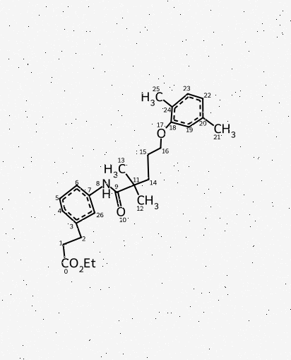 CCOC(=O)CCc1cccc(NC(=O)C(C)(C)CCCOc2cc(C)ccc2C)c1